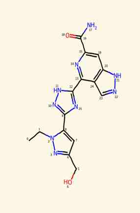 CCn1nc(CO)cc1-c1n[nH]c(-c2nc(C(N)=O)cc3[nH]ncc23)n1